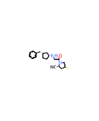 N#C[C@@H]1C[C@H](F)CN1C(=O)CN[C@@H]1CC[C@H](Cc2ccccc2)C1